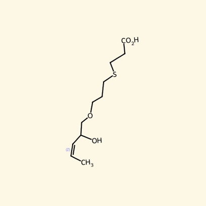 C/C=C\C(O)COCCCSCCC(=O)O